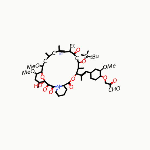 CCC1/C=C(\C)CC(C)CC(OC)C2OC(O)(C(=O)C(=O)N3CCCCC3C(=O)OC(C(C)=CC3CCC(OCC(=O)C=O)C(OC)C3)C(C)C(O[Si](C)(C)C(C)(C)C)CC1=O)C(C)CC2OC